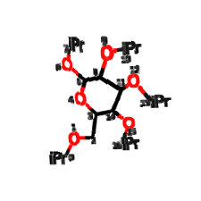 CC(C)OCC1OC(OC(C)C)C(OC(C)C)C(OC(C)C)C1OC(C)C